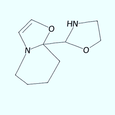 C1=CN2CCCCC2(C2NCCO2)O1